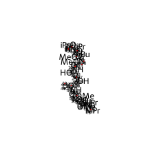 CC[C@H](C)[C@@H]([C@@H](CC(=O)N1CCC[C@H]1[C@@H](OC)[C@@H](C)C(=O)N[C@H](C)[C@@H](O)c1ccc([Si](C)(O)CC[Si](C)(C)CO[C@@H](c2ccccc2)[C@@H](C)NC(=O)[C@H](C)[C@H](OC)[C@@H]2CCCN2C(=O)C[C@@H](OC)[C@H]([C@@H](C)CC)N(C)C(=O)[C@@H](NC(=O)[C@H](C(C)C)N(C)C)C(C)C)cc1)OC)N(C)C(=O)[C@@H](NC(=O)[C@H](C(C)C)N(C)C)C(C)C